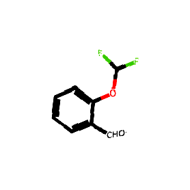 O=[C]c1ccccc1OC(F)F